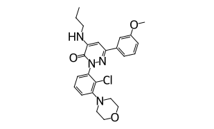 CCCNc1cc(-c2cccc(OC)c2)nn(-c2cccc(N3CCOCC3)c2Cl)c1=O